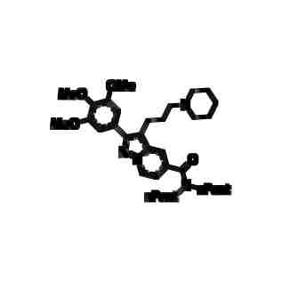 CCCCCN(CCCCC)C(=O)c1ccn2nc(-c3cc(OC)c(OC)c(OC)c3)c(CCCN3CCCCC3)c2c1